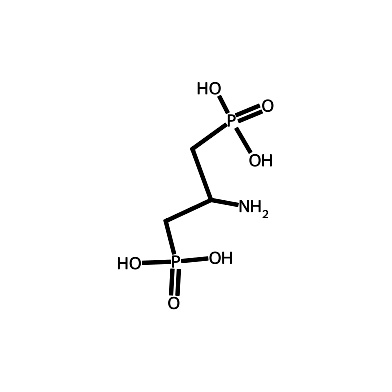 NC(CP(=O)(O)O)CP(=O)(O)O